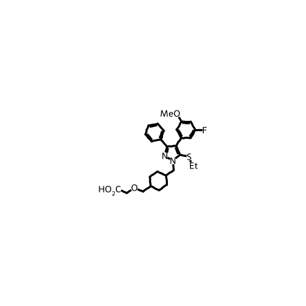 CCSc1c(-c2cc(F)cc(OC)c2)c(-c2ccccc2)nn1CC1CCC(COCC(=O)O)CC1